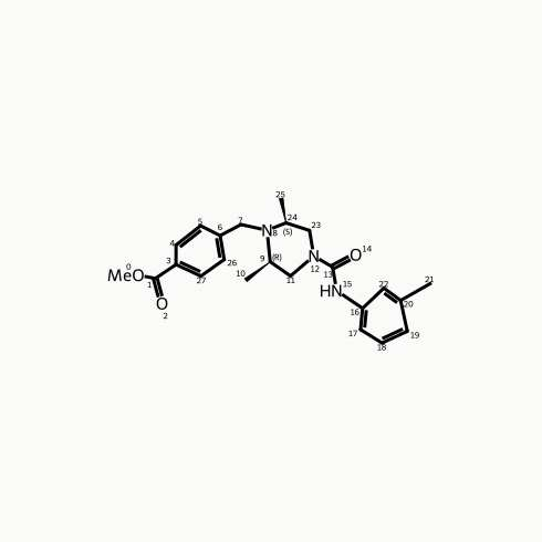 COC(=O)c1ccc(CN2[C@H](C)CN(C(=O)Nc3cccc(C)c3)C[C@@H]2C)cc1